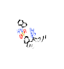 Cc1ccc(S(=O)(=O)Nc2cccc3ccccc23)cc1C[C@H](N)C(=O)O